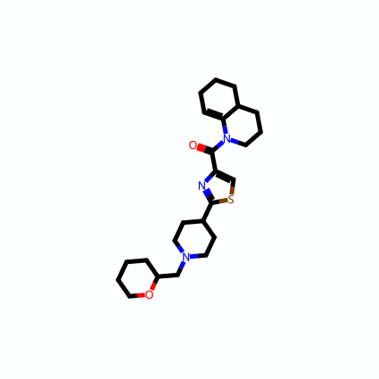 O=C(c1csc(C2CCN(CC3CCCCO3)CC2)n1)N1CCCC2CCCC=C21